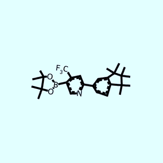 CC1(C)OB(c2cnc(-c3ccc4c(c3)C(C)(C)C(C)(C)C4(C)C)cc2C(F)(F)F)OC1(C)C